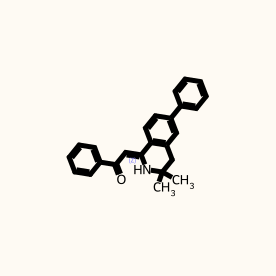 CC1(C)Cc2cc(-c3ccccc3)ccc2/C(=C/C(=O)c2ccccc2)N1